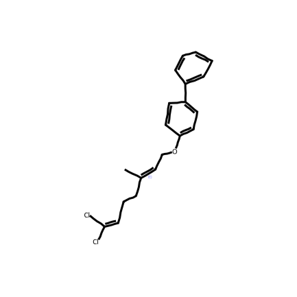 C/C(=C\COc1ccc(-c2ccccc2)cc1)CCC=C(Cl)Cl